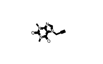 C#CCn1cnc2c1c(=O)n(C)c(=O)n2C